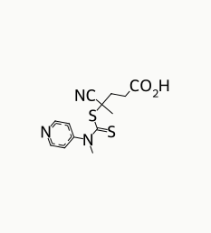 CN(C(=S)SC(C)(C#N)CCC(=O)O)c1ccncc1